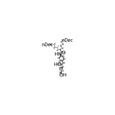 CCCCCCCCCCCCCCC(CCCCCCCCCCCCCC)C(=O)Nc1ccc(CC(O)COCCO)cc1